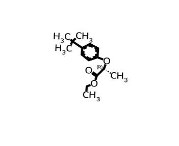 CCOC(=O)[C@@H](C)Oc1ccc(C(C)(C)C)cc1